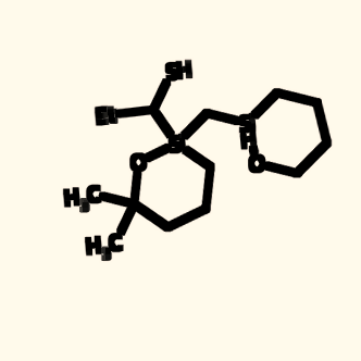 CCC(S)[Si]1(C[SiH]2CCCCO2)CCCC(C)(C)O1